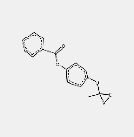 CC1(Oc2ccc(OC(=O)c3ccccc3)cc2)CO1